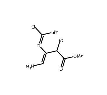 CCC/C(Cl)=N\C(=C/N)C(CC)C(=O)OC